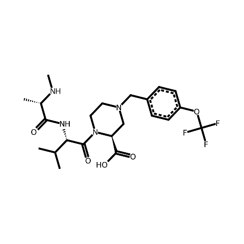 CN[C@@H](C)C(=O)N[C@H](C(=O)N1CCN(Cc2ccc(OC(F)(F)F)cc2)C[C@H]1C(=O)O)C(C)C